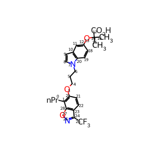 CCCc1c(OCCCn2ccc3cc(OC(C)(C)C(=O)O)ccc32)ccc2c(C(F)(F)F)noc12